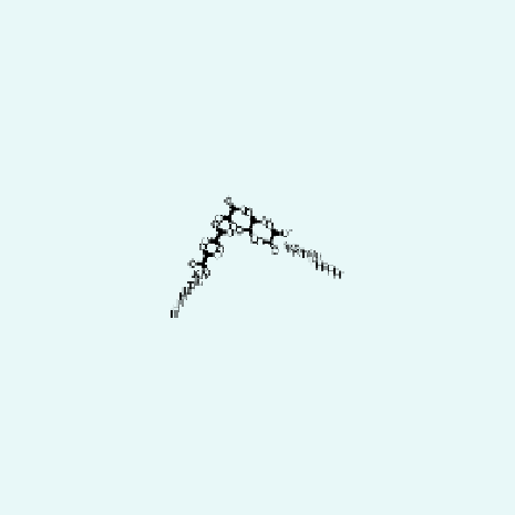 O=C([O-])C(=O)[O-].O=C([O-])C(=O)[O-].O=C([O-])C(=O)[O-].O=C([O-])C(=O)[O-].O=C([O-])C(=O)[O-].[H-].[H-].[H-].[H-].[H-].[H-].[H-].[H-].[H-].[H-].[K+].[K+].[K+].[K+].[Ti+4].[Ti+4].[Ti+4].[Ti+4]